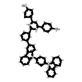 CC(C)(C)c1ccc(-c2cc(-c3ccc(C(C)(C)C)cc3)nc(-c3cccc(-c4ccc5c(c4)c4ccccc4n5-c4ccc(-n5c6ccccc6c6ccccc65)cc4)c3)n2)cc1